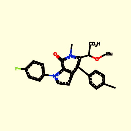 Cc1ccc(-c2c(C(OC(C)(C)C)C(=O)O)n(C)c(=O)c3c2ccn3-c2ccc(F)cc2)cc1